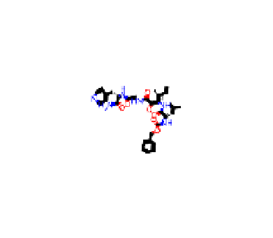 CC[C@H](C)C(NC(=O)[C@H](CC(C)C)NC(=O)OCc1ccccc1)C(=O)C(=O)NCC(=O)N[C@@H](Cc1ccncc1)C(N)=O